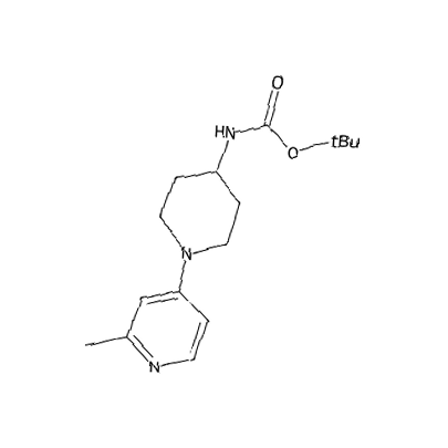 Cc1cc(N2CCC(NC(=O)OC(C)(C)C)CC2)ccn1